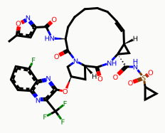 Cc1cc(C(=O)N[C@H]2CCCCC/C=C\[C@@H]3C[C@@]3(C(=O)NS(=O)(=O)C3CC3)NC(=O)[C@@H]3C[C@@H](Oc4nc5c(F)cccc5nc4C(F)(F)F)CN3C2=O)no1